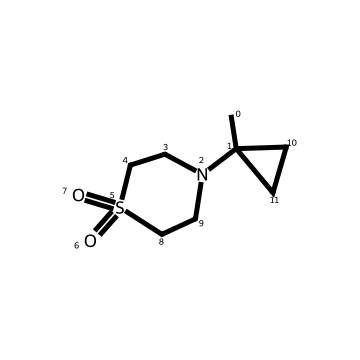 CC1(N2CCS(=O)(=O)CC2)CC1